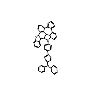 c1ccc(N(c2ccccc2)c2ccc(-c3ccc(N4c5cccc6c5C5c7c(cccc7C7Sc8ccccc8C7C54)-c4ccccc4-6)cc3)cc2)cc1